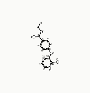 CCOC(=O)c1ccc(Oc2nccnc2Cl)cc1